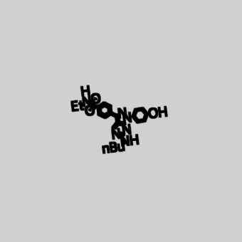 CCCCNc1ncc2c(-c3ccc(S(=O)(=O)NCC)cc3)nn([C@H]3CC[C@@H](O)CC3)c2n1